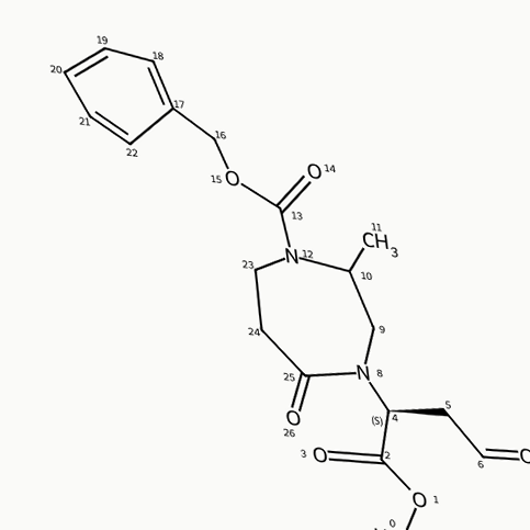 COC(=O)[C@H](CC=O)N1CC(C)N(C(=O)OCc2ccccc2)CCC1=O